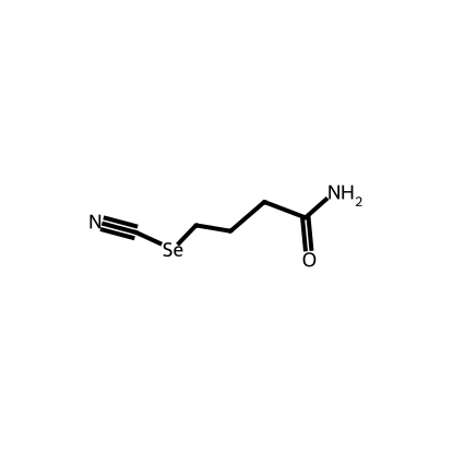 N#C[Se]CCCC(N)=O